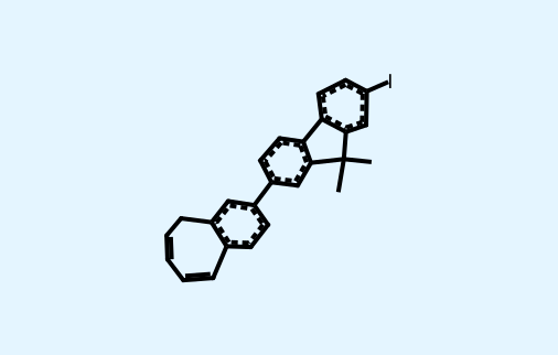 CC1(C)c2cc(I)ccc2-c2ccc(-c3ccc4c(c3)CC=CC=C4)cc21